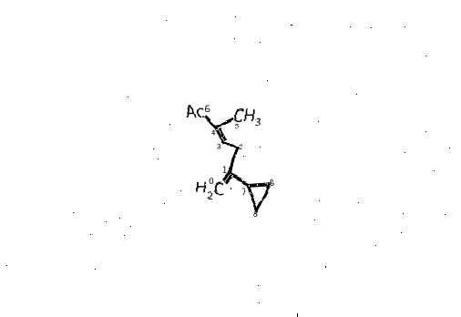 C=C(C/C=C(\C)C(C)=O)C1CC1